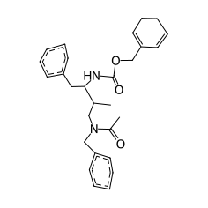 CC(=O)N(Cc1ccccc1)CC(C)C(Cc1ccccc1)NC(=O)OCC1=CCCC=C1